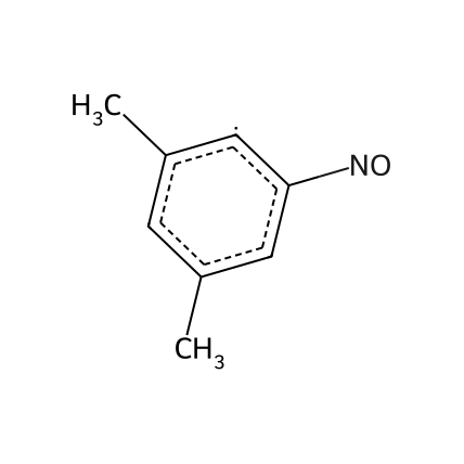 Cc1[c]c(N=O)cc(C)c1